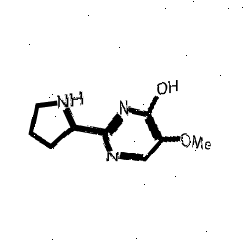 COc1cnc(C2CCCN2)nc1O